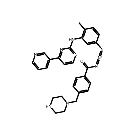 Cc1ccc(N=[N+]=NC(=O)c2ccc(CN3CCNCC3)cc2)cc1Nc1nccc(-c2cccnc2)n1